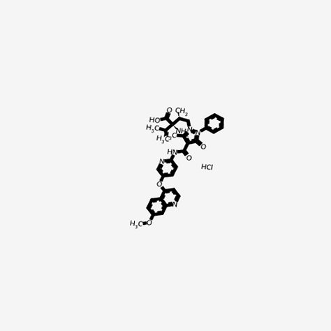 COc1ccc2c(Oc3ccc(NC(=O)c4c(C)n(C[C@@H](C)[C@](N)(C(=O)O)C(C)C)n(-c5ccccc5)c4=O)nc3)ccnc2c1.Cl